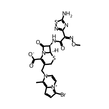 CO/N=C(\C(=O)N[C@@H]1C(=O)N2C(C(=O)[O-])=C(Cn3cc[n+]4c(Br)ccc-4c3C)CS[C@H]12)c1nsc(N)n1